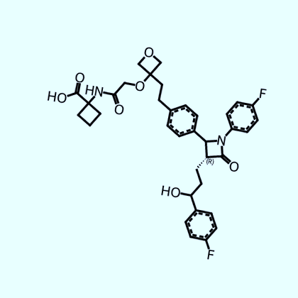 O=C(COC1(CCc2ccc(C3[C@@H](CCC(O)c4ccc(F)cc4)C(=O)N3c3ccc(F)cc3)cc2)COC1)NC1(C(=O)O)CCC1